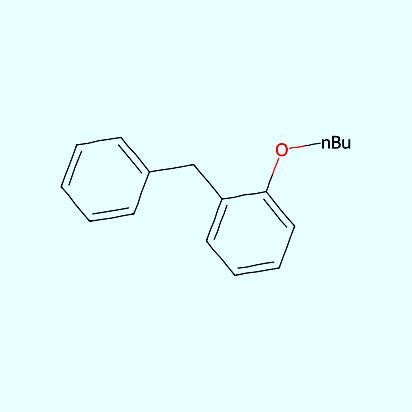 CCCCOc1ccccc1Cc1ccccc1